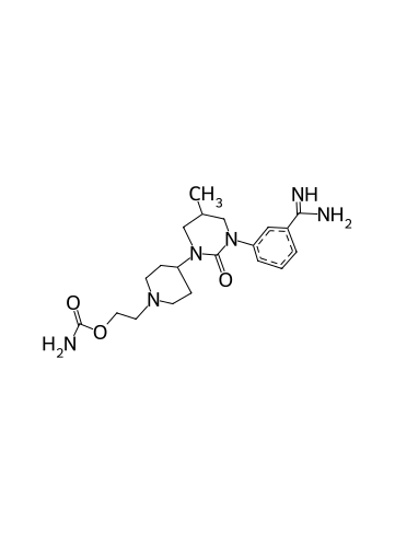 CC1CN(c2cccc(C(=N)N)c2)C(=O)N(C2CCN(CCOC(N)=O)CC2)C1